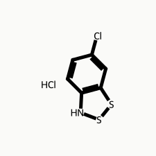 Cl.Clc1ccc2c(c1)SSN2